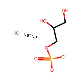 Cl.O=P([O-])([O-])OCC(O)CO.[Na+].[Na+]